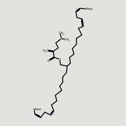 C=C(CCN(C)C)C(=O)OCC(CCCCCCCC/C=C\C/C=C\CCCCC)CCCCCCCC/C=C\C/C=C\CCCCC